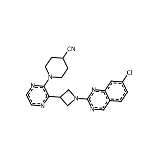 N#CC1CCN(c2nccnc2C2CN(c3ncc4ccc(Cl)cc4n3)C2)CC1